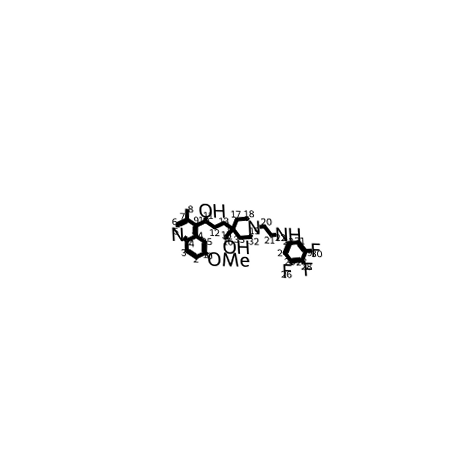 COc1ccc2ncc(C)c(C(O)CCC3(CO)CCN(CCNc4cc(F)c(F)c(F)c4)CC3)c2c1